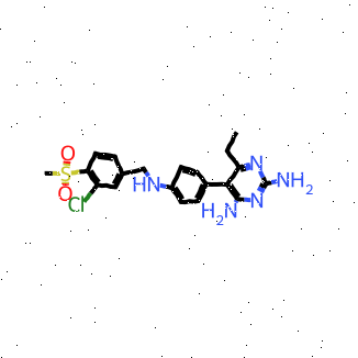 CCc1nc(N)nc(N)c1-c1ccc(NCc2ccc(S(C)(=O)=O)c(Cl)c2)cc1